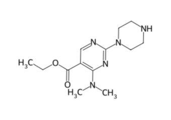 CCOC(=O)c1cnc(N2CCNCC2)nc1N(C)C